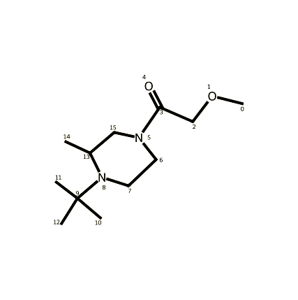 COCC(=O)N1CCN(C(C)(C)C)C(C)C1